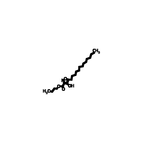 CCCCCCCCCCCCCCc1onc(C(=O)OCCCC)c1O